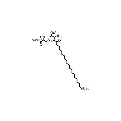 CCCCCCCCCCCCCCCCCCCCCCCCCCCCCC(=O)C(SSC[C@H](N)C(=O)OC)[C@H](N)C(=O)OC